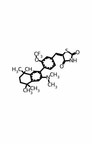 CN(C)c1cc2c(cc1-c1ccc(C=C3SC(=O)NC3=O)cc1OC(F)(F)F)C(C)(C)CCC2(C)C